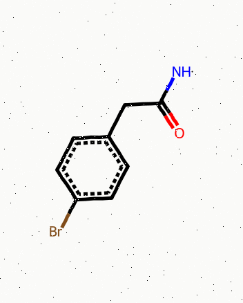 [NH]C(=O)Cc1ccc(Br)cc1